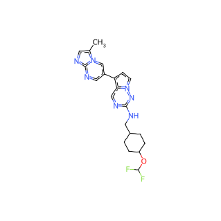 Cc1cnc2ncc(-c3ccn4nc(NCC5CCC(OC(F)F)CC5)ncc34)cn12